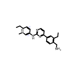 CCC/C=C\C(=C/NC)Nc1nccc(-c2ccc(CN)c(CC)c2)n1